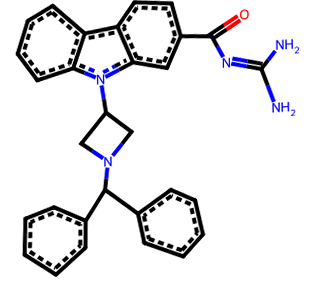 NC(N)=NC(=O)c1ccc2c3ccccc3n(C3CN(C(c4ccccc4)c4ccccc4)C3)c2c1